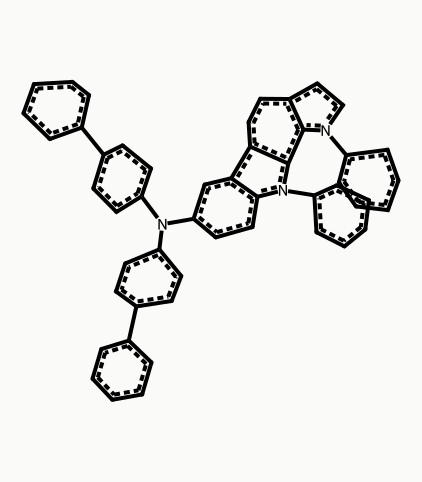 c1ccc(-c2ccc(N(c3ccc(-c4ccccc4)cc3)c3ccc4c(c3)c3ccc5ccn(-c6ccccc6)c5c3n4-c3ccccc3)cc2)cc1